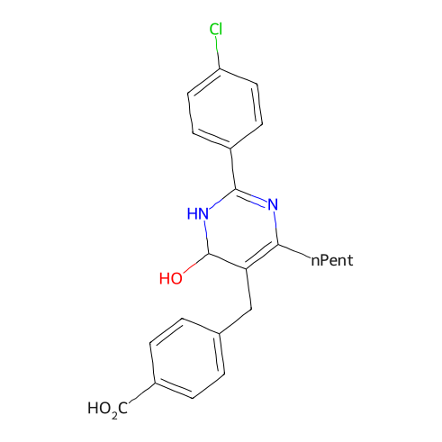 CCCCCC1=C(Cc2ccc(C(=O)O)cc2)C(O)NC(c2ccc(Cl)cc2)=N1